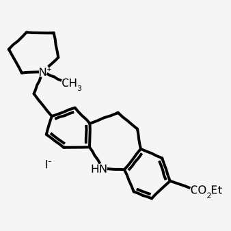 CCOC(=O)c1ccc2c(c1)CCc1cc(C[N+]3(C)CCCCC3)ccc1N2.[I-]